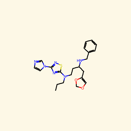 CCCN(CCC(CC1=COCO1)NCc1ccccc1)c1nc(-n2ccnc2)ns1